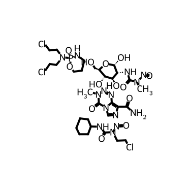 CN(N=O)C(=O)N[C@@H]1[C@@H](O)[C@H](O)[C@@H](CO)O[C@@H]1O.Cn1nnc2c(C(N)=O)ncn2c1=O.O=NN(CCCl)C(=O)NC1CCCCC1.O=P1(N(CCCl)CCCl)NCCCO1